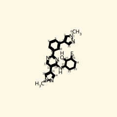 Cn1cc(-c2cccc(-c3ncc(-c4cnn(C)c4)c(NC4CCCC(F)C4O)n3)c2)cn1